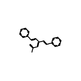 C=C(C)C=C(C=Cc1ccccc1)C=Cc1ccccc1